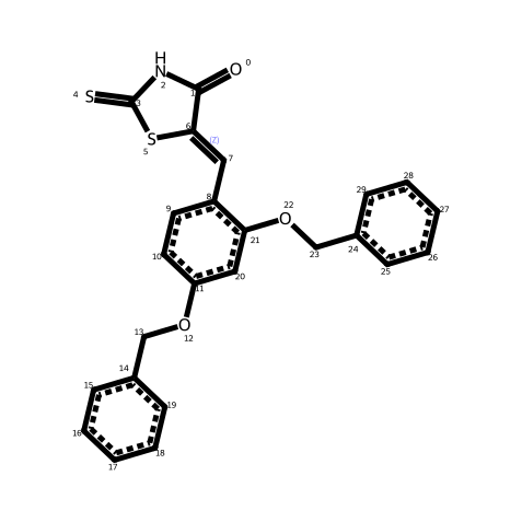 O=C1NC(=S)S/C1=C\c1ccc(OCc2ccccc2)cc1OCc1ccccc1